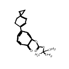 CC(C)(C)OC(=O)Oc1cc(C2=CCC3(CC2)CC3)cccc1=O